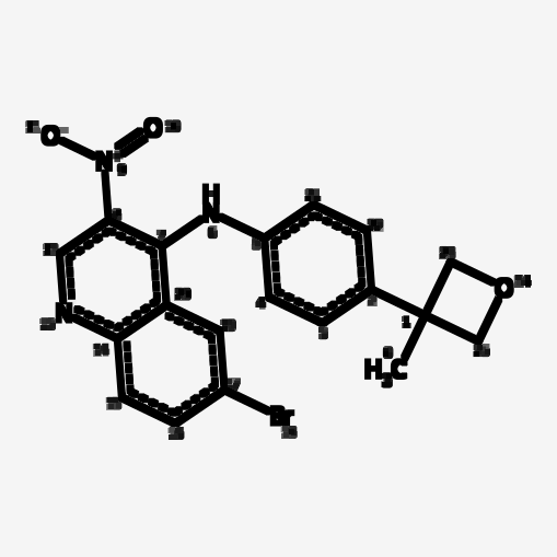 CC1(c2ccc(Nc3c([N+](=O)[O-])cnc4ccc(Br)cc34)cc2)COC1